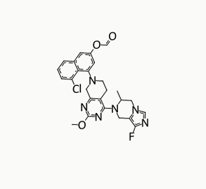 COc1nc2c(c(N3Cc4c(F)ncn4CC3C)n1)CCN(c1cc(OC=O)cc3cccc(Cl)c13)C2